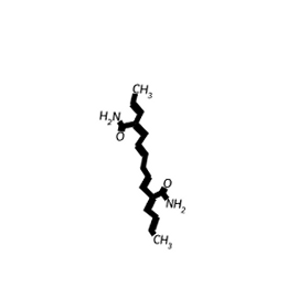 C/C=C/C=C(/C=C/C/C=C/C=C(/C=C/C)C(N)=O)C(N)=O